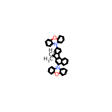 CC1(C)c2cc(N3c4ccccc4Oc4ccccc43)ccc2-c2c1cc(N1c3ccccc3Oc3ccccc31)c1ccccc21